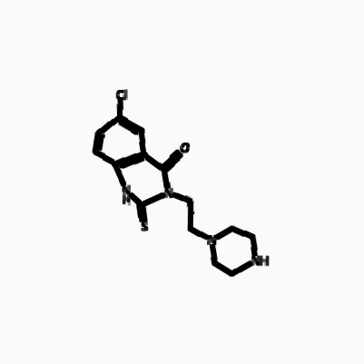 O=c1c2cc(Cl)ccc2[nH]c(=S)n1CCN1CCNCC1